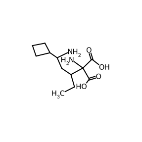 CCC(CC(N)C1CCC1)C(N)(C(=O)O)C(=O)O